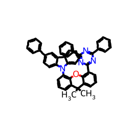 CC1(C)c2cccc(-c3nc(-c4ccccc4)nc(-c4ccccc4)n3)c2Oc2c(-n3c4ccccc4c4cc(-c5ccccc5)ccc43)cccc21